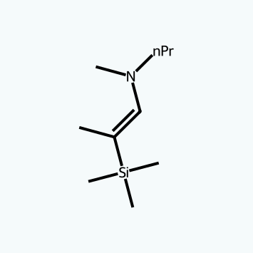 CCCN(C)/C=C(\C)[Si](C)(C)C